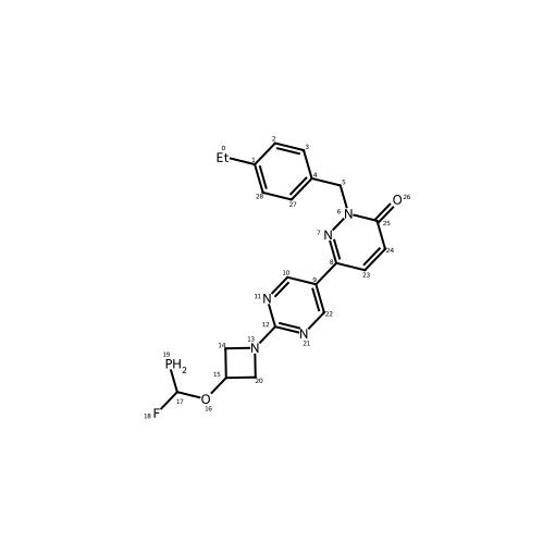 CCc1ccc(Cn2nc(-c3cnc(N4CC(OC(F)P)C4)nc3)ccc2=O)cc1